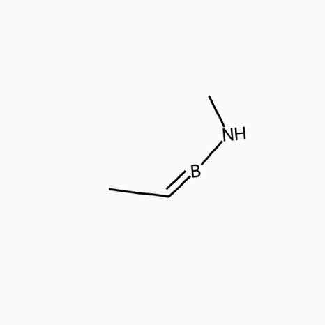 CC=BNC